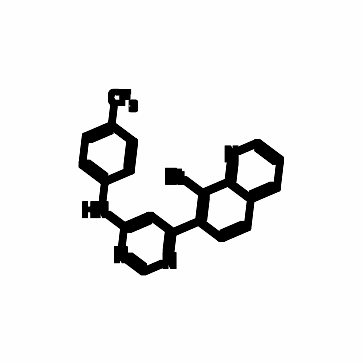 CCc1c(-c2cc(Nc3ccc(C(F)(F)F)cc3)ncn2)ccc2cccnc12